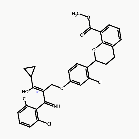 COC(=O)c1cccc2c1OC(c1ccc(OC/C(C(=N)c3c(Cl)cccc3Cl)=C(/O)C3CC3)cc1Cl)CC2